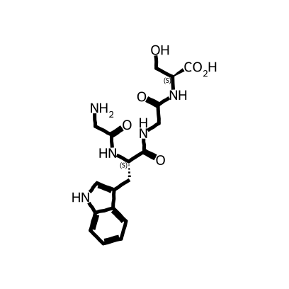 NCC(=O)N[C@@H](Cc1c[nH]c2ccccc12)C(=O)NCC(=O)N[C@@H](CO)C(=O)O